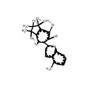 [2H]c1c([2H])c2c(c([2H])c1-c1ccc3c(C)cccc3n1)C(C)(C)C(C)(C)C2(C)C